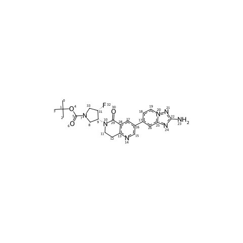 CC(C)(C)OC(=O)N1C[C@@H](N2CCc3ncc(-c4ccn5nc(N)nc5c4)cc3C2=O)[C@@H](F)C1